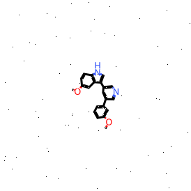 COc1cccc(-c2cncc(-c3c[nH]c4ccc(OC)cc34)c2)c1